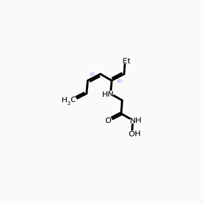 C=C/C=C\C(=C/CC)NCC(=O)NO